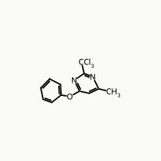 Cc1cc(Oc2ccccc2)nc(C(Cl)(Cl)Cl)n1